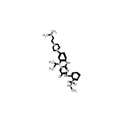 CNS(=O)(=O)c1ccccc1Nc1nc(Nc2ccc(N3CCN(CCN(C)C)CC3)cc2OC(C)C)ncc1Cl